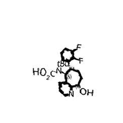 CC(C)(C)N(C(=O)O)[C@@H]1c2cccnc2[C@H](O)CC[C@H]1c1cccc(F)c1F